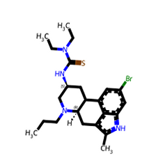 CCCN1C[C@@H](NC(=S)N(CC)CC)CC2c3cc(Br)cc4[nH]c(C)c(c34)C[C@H]21